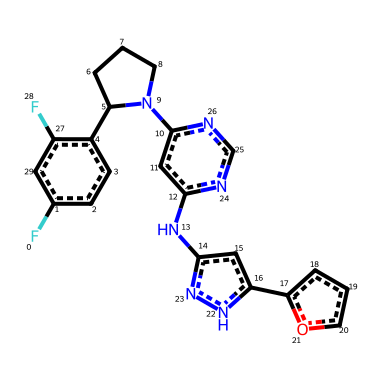 Fc1ccc(C2CCCN2c2cc(Nc3cc(-c4ccco4)[nH]n3)ncn2)c(F)c1